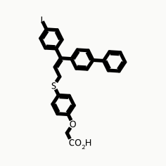 O=C(O)COc1ccc(SCC=C(c2ccc(I)cc2)c2ccc(-c3ccccc3)cc2)cc1